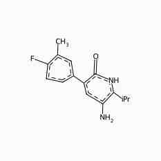 Cc1cc(-c2cc(N)c(C(C)C)[nH]c2=O)ccc1F